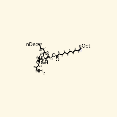 CCCCCCCC/C=C\CCCCCCCC(=O)OC[C@H](COP(=O)(O)OCCN)OC(=O)CCCCCCCCCCCCC